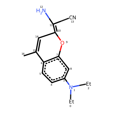 CCN(CC)c1ccc2c(c1)O/C(=C(/N)C#N)C=C2C